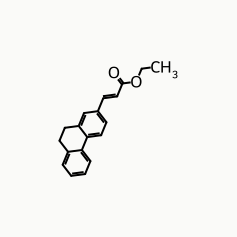 CCOC(=O)/C=C/c1ccc2c(c1)CCc1ccccc1-2